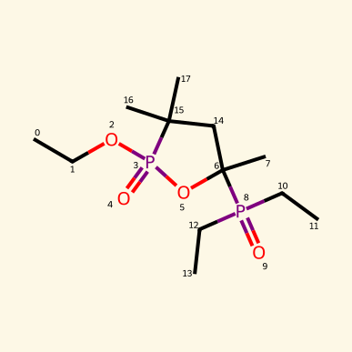 CCOP1(=O)OC(C)(P(=O)(CC)CC)CC1(C)C